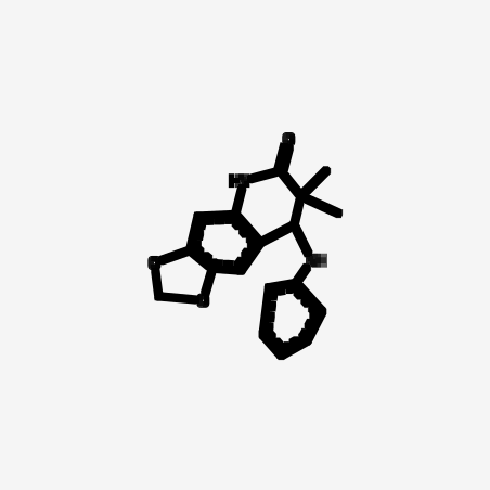 CC1(C)C(=O)Nc2cc3c(cc2C1Nc1ccccc1)OCO3